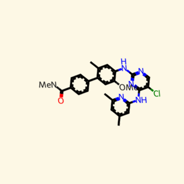 CNC(=O)c1ccc(-c2cc(OC)c(Nc3ncc(Cl)c(Nc4cc(C)cc(C)n4)n3)cc2C)cc1